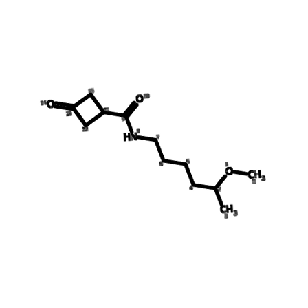 COC(C)CCCCNC(=O)C1CC(=O)C1